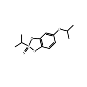 CC(C)Oc1ccc2c(c1)OP(=S)(C(C)C)O2